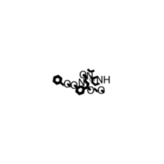 COCCOc1cc(C(=O)N(C(C)C)[C@@H]2CCCNC2)nc2c(OCOCc3ccccc3)cccc12